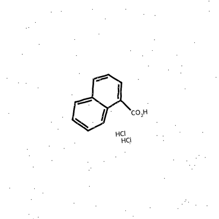 Cl.Cl.O=C(O)c1cccc2ccccc12